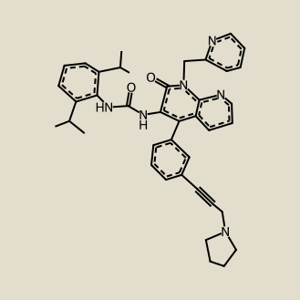 CC(C)c1cccc(C(C)C)c1NC(=O)Nc1c(-c2cccc(C#CCN3CCCC3)c2)c2cccnc2n(Cc2ccccn2)c1=O